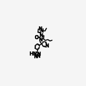 CCCCc1cn(-c2ccnn2CC)c(=O)n1CC1(c2cccc(-c3nnn[nH]3)c2)C=CN=CC1